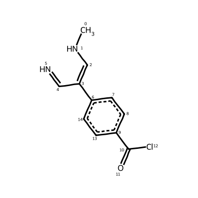 CN/C=C(\C=N)c1ccc(C(=O)Cl)cc1